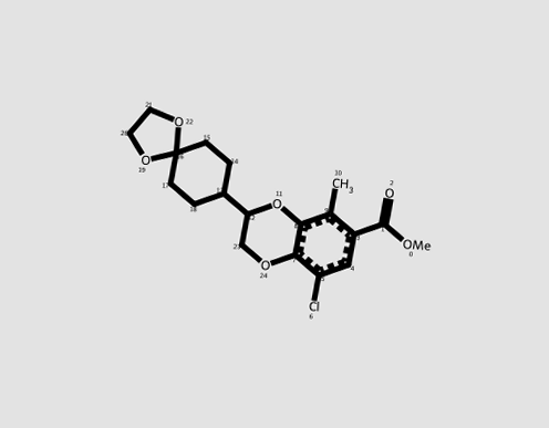 COC(=O)c1cc(Cl)c2c(c1C)OC(C1CCC3(CC1)OCCO3)CO2